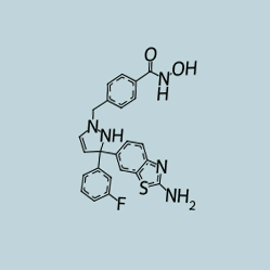 Nc1nc2ccc(C3(c4cccc(F)c4)C=CN(Cc4ccc(C(=O)NO)cc4)N3)cc2s1